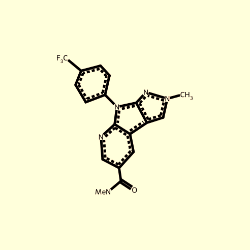 CNC(=O)c1cnc2c(c1)c1cn(C)nc1n2-c1ccc(C(F)(F)F)cc1